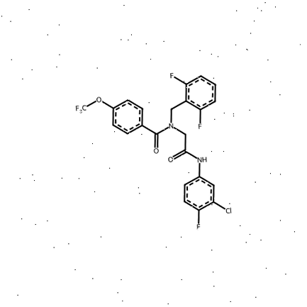 O=C(CN(Cc1c(F)cccc1F)C(=O)c1ccc(OC(F)(F)F)cc1)Nc1ccc(F)c(Cl)c1